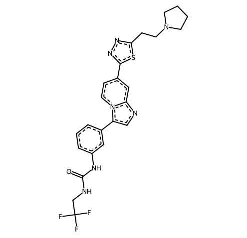 O=C(NCC(F)(F)F)Nc1cccc(-c2cnc3cc(-c4nnc(CCN5CCCC5)s4)ccn23)c1